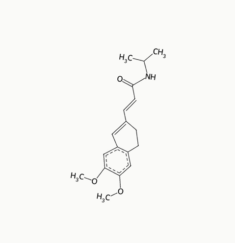 COc1cc2c(cc1OC)CCC(C=CC(=O)NC(C)C)=C2